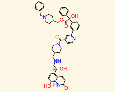 O=C(c1ccnc(-c2cccc(C(O)(C(=O)OCC3CCN(Cc4ccccc4)CC3)c3ccccc3)c2)c1)N1CCC(CNC[C@H](O)c2ccc(O)c3[nH]c(=O)ccc23)CC1